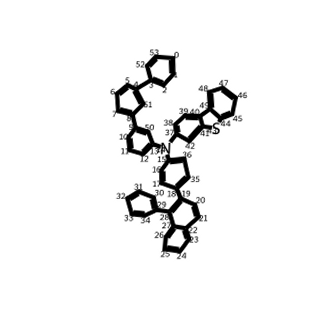 c1ccc(-c2cccc(-c3cccc(N(c4ccc(-c5ccc6ccccc6c5-c5ccccc5)cc4)c4ccc5c(c4)sc4ccccc45)c3)c2)cc1